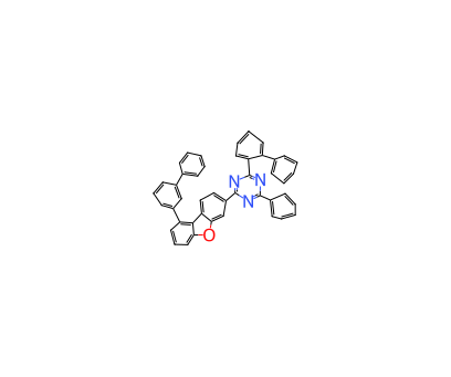 c1ccc(-c2cccc(-c3cccc4oc5cc(-c6nc(-c7ccccc7)nc(-c7ccccc7-c7ccccc7)n6)ccc5c34)c2)cc1